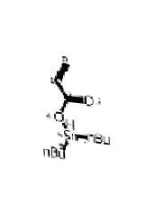 C=CC(=O)[O][SnH]([CH2]CCC)[CH2]CCC